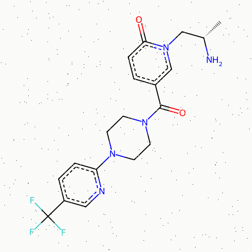 C[C@H](N)Cn1cc(C(=O)N2CCN(c3ccc(C(F)(F)F)cn3)CC2)ccc1=O